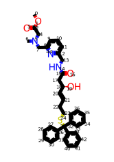 COC(=O)CN(C)Cc1cccc(CNC(=O)C[C@H](O)C=CCCSC(c2ccccc2)(c2ccccc2)c2ccccc2)n1